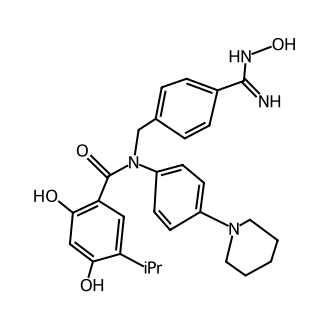 CC(C)c1cc(C(=O)N(Cc2ccc(C(=N)NO)cc2)c2ccc(N3CCCCC3)cc2)c(O)cc1O